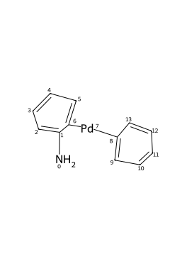 Nc1cccc[c]1[Pd][c]1ccccc1